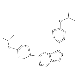 CC(C)Oc1ccc(-c2ccc3cnc(-c4ccc(OC(C)C)cc4)n3c2)cc1